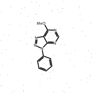 COc1ncnc2c1nnn2-c1ccccc1